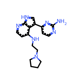 Nc1nccc(-c2c[nH]c3nccc(NCCN4CCCC4)c23)n1